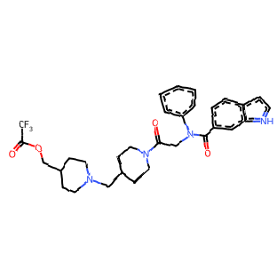 O=C(CN(C(=O)c1ccc2cc[nH]c2c1)c1ccccc1)N1CCC(CN2CCC(COC(=O)C(F)(F)F)CC2)CC1